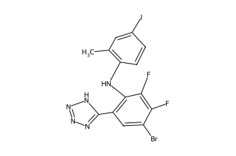 Cc1cc(I)ccc1Nc1c(-c2nnn[nH]2)cc(Br)c(F)c1F